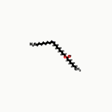 CCCCCCCC/C=C\CCCCCCCCOC(=O)CCCCCCC